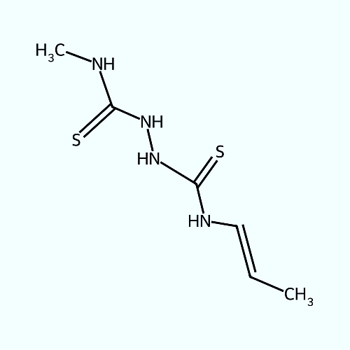 CC=CNC(=S)NNC(=S)NC